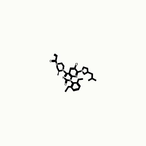 C=CC(=O)N1CCN(c2nc(=O)n(-c3c(CC)cccc3CC)c3nc(N4CCC(CC(C)C)C4)c(Cl)cc23)[C@@H](C)C1